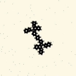 c1ccc2cc(-n3c4ccc(-c5ccc(-c6ccc7c(c6)c6c8ccccc8c8c9ccccc9sc8c6n7-c6ccc7ccccc7c6)cc5)cc4c4c5ccccc5c5c6ccccc6sc5c43)ccc2c1